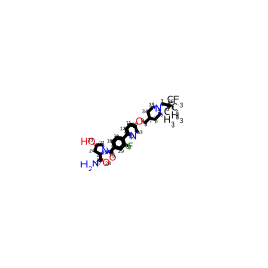 CC(C)(CN1CCC(COc2ccc(-c3ccc(C(=O)N4CC(O)CC4C(N)=O)cc3F)nc2)CC1)C(F)(F)F